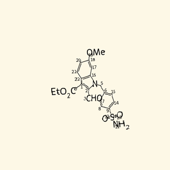 CCOC(=O)c1c(C=O)n(Cc2ccc(S(N)(=O)=O)cc2)c2cc(OC)ccc12